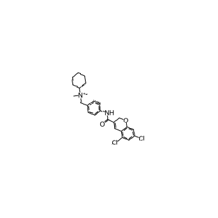 C[N+](C)(Cc1ccc(NC(=O)C2=Cc3c(Cl)cc(Cl)cc3OC2)cc1)C1CCCCC1